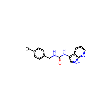 CCc1ccc(CNC(=O)Nc2c[nH]c3ncccc23)cc1